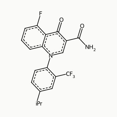 CC(C)c1ccc(-n2cc(C(N)=O)c(=O)c3c(F)cccc32)c(C(F)(F)F)c1